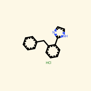 Cl.c1ccc(Cc2ccccc2-c2ncc[nH]2)cc1